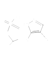 CC(O)OS(=O)(=O)O.Nc1cn[nH]c1N